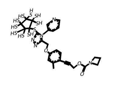 Cc1cc(OCc2nnc(SC3(S)C(S)(S)C(S)(S)C(S)(S)C3(S)S)n2-c2cccnc2)ccc1C#CCOC(=O)N1CCC1